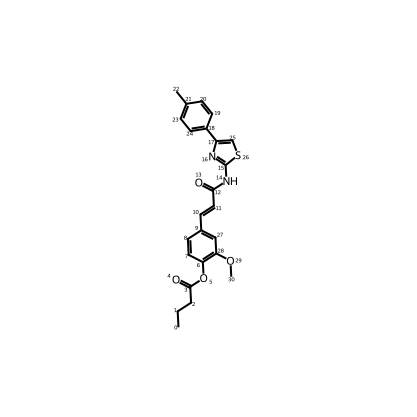 CCCC(=O)Oc1ccc(/C=C/C(=O)Nc2nc(-c3ccc(C)cc3)cs2)cc1OC